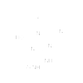 CC(=O)NNc1nc(O)nc(-c2ncccc2Cl)n1